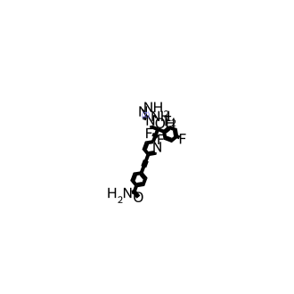 N/N=C\N(N)CC(O)(c1ccc(F)cc1F)C(F)(F)c1ccc(C#Cc2ccc(C(N)=O)cc2)cn1